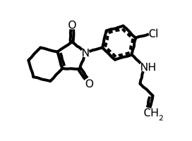 C=CCNc1cc(N2C(=O)C3=C(CCCC3)C2=O)ccc1Cl